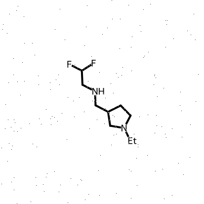 CCN1CCC(CNCC(F)F)C1